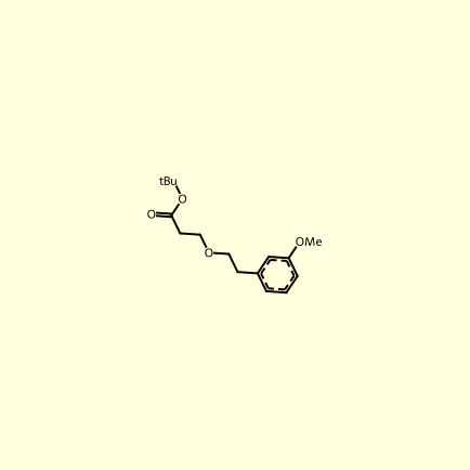 COc1cccc(CCOCCC(=O)OC(C)(C)C)c1